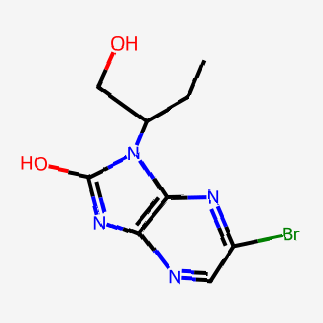 CCC(CO)n1c(O)nc2ncc(Br)nc21